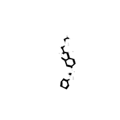 O=C(Nc1ccccc1)Nc1ccc2c(O)c(C(=O)NC[C@H](O)C(=O)O)ncc2c1